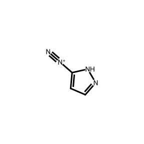 N#[N+]c1ccn[nH]1